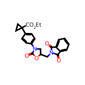 CCOC(=O)C1(c2ccc(N3CC(CN4C(=O)c5ccccc5C4=O)OC3=O)cc2)CC1